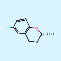 O=C(O)C1CCc2cc(F)ccc2O1